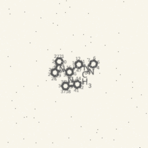 Cc1nc2ccccc2n1-c1cccc(-c2cc(-n3c4ccccc4c4ccccc43)cc(-n3c4ccccc4c4ccccc43)c2)c1